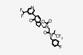 C[C@H](N(Cc1ccc(F)cc1)C(=O)CN1C[C@]2(CCC3=C2C=CC(c2cncc(C(F)F)c2)C3=O)OC1=O)C(F)(F)F